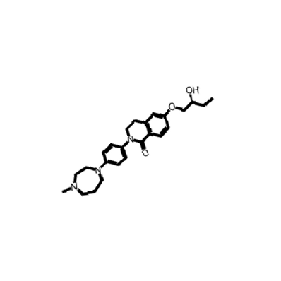 CC[C@H](O)COc1ccc2c(c1)CCN(c1ccc(N3CCCN(C)CC3)cc1)C2=O